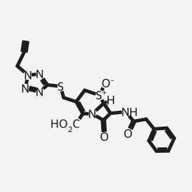 C#CCn1nnc(SCC2=C(C(=O)O)N3C(=O)C(NC(=O)Cc4ccccc4)[C@H]3[S+]([O-])C2)n1